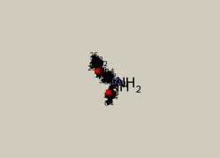 C=Cc1ccc(CN/C(=C\N)c2cc(C)c(N3CCN(C4=C(C)C=C(C)C[C@@H]4C)C3)c(C)c2)cc1